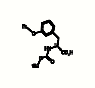 CCOc1cccc(C[C@H](NC(=O)OC(C)(C)C)C(=O)O)c1